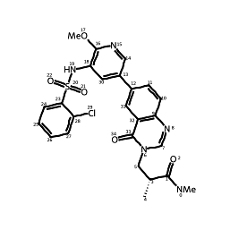 CNC(=O)[C@H](C)Cn1cnc2ccc(-c3cnc(OC)c(NS(=O)(=O)c4ccccc4Cl)c3)cc2c1=O